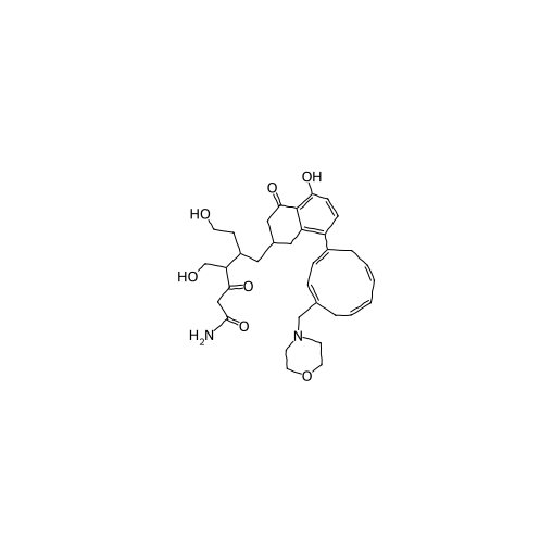 NC(=O)CC(=O)C(CO)C(CCO)CC1CC(=O)c2c(O)ccc(/C3=C/C=C(/CN4CCOCC4)C/C=C\C=C/C3)c2C1